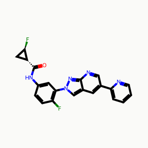 O=C(Nc1ccc(F)c(-n2cc3cc(-c4ccccn4)cnc3n2)c1)[C@@H]1C[C@H]1F